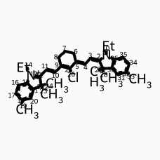 CCN1/C(=C/C=C2\CCCC(/C=C/C3=[N+](CC)c4ccc(C)cc4C3(C)C)=C2Cl)C(C)(C)c2cc(C)ccc21